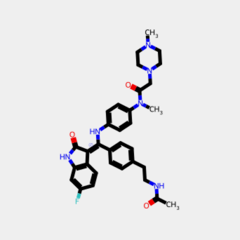 CC(=O)NCCc1ccc(/C(Nc2ccc(N(C)C(=O)CN3CCN(C)CC3)cc2)=C2/C(=O)Nc3cc(F)ccc32)cc1